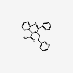 O=C(O)c1c(CCc2cccnc2)c(-c2ccccc2)nc2ccccc12